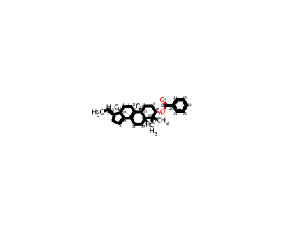 CC=C1CC=C2C3=C(CC[C@]12C)[C@@]1(C)CC[C@H](OC(=O)c2ccccc2)C(C)(C)[C@@H]1CC3